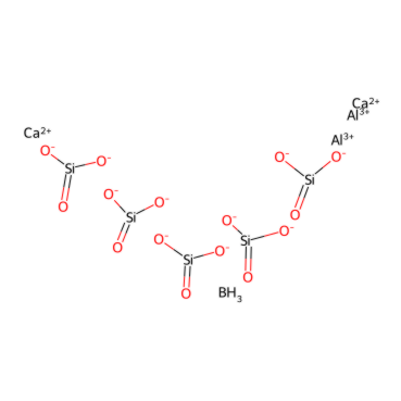 B.O=[Si]([O-])[O-].O=[Si]([O-])[O-].O=[Si]([O-])[O-].O=[Si]([O-])[O-].O=[Si]([O-])[O-].[Al+3].[Al+3].[Ca+2].[Ca+2]